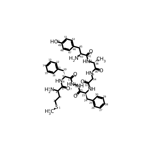 CSCCC(N)C(=O)N[C@H](Cc1ccccc1)C(=O)NNC(=O)[C@H](Cc1ccccc1)NC(=O)CNC(=O)[C@@H](C)NC(=O)[C@@H](N)Cc1ccc(O)cc1